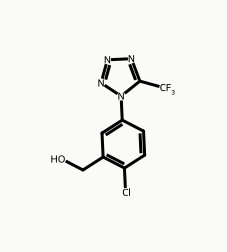 OCc1cc(-n2nnnc2C(F)(F)F)ccc1Cl